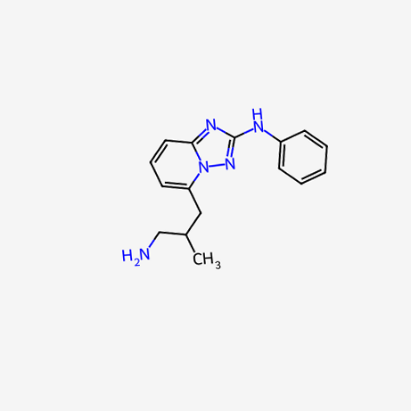 CC(CN)Cc1cccc2nc(Nc3ccccc3)nn12